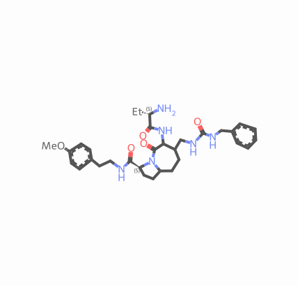 CC[C@H](N)C(=O)NC1C(=O)N2C(CCC1CNC(=O)NCc1ccccc1)CC[C@H]2C(=O)NCCc1ccc(OC)cc1